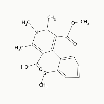 COC(=O)C1=C(c2ccccc2SC)C(C(=O)O)=C(C)N(C)C1C